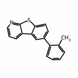 Cc1ccccc1-c1ccc2sc3ncccc3c2c1